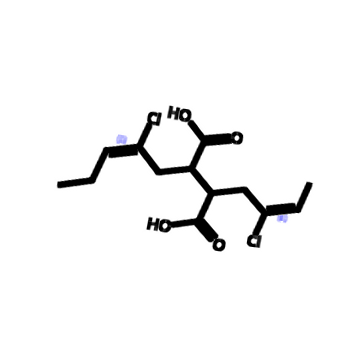 C/C=C(/Cl)CC(C(=O)O)C(C/C(Cl)=C\CC)C(=O)O